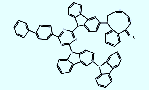 C=C1/C=C\C=C/CN(c2ccc3c(c2)c2ccccc2n3-c2nc(-c3ccc(-c4ccccc4)cc3)nc(-n3c4ccccc4c4cc(-n5c6ccccc6c6ccccc65)ccc43)n2)c2ccccc21